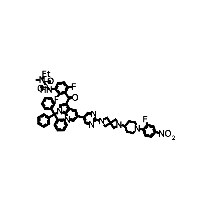 CCN(C)S(=O)(=O)Nc1ccc(F)c(C(=O)c2cn(C(c3ccccc3)(c3ccccc3)c3ccccc3)c3ncc(-c4cnc(N5CC6(C5)CN(C5CCN(c7ccc([N+](=O)[O-])cc7F)CC5)C6)nc4)cc23)c1F